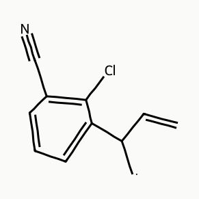 [CH2]C(C=C)c1cccc(C#N)c1Cl